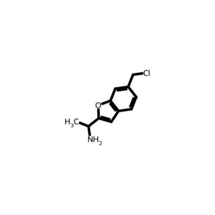 CC(N)c1cc2ccc(CCl)cc2o1